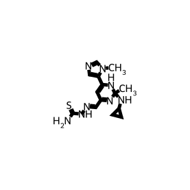 Cn1cncc1C1=CC(C=NNC(N)=S)=NC(C)(NC2CC2)N1